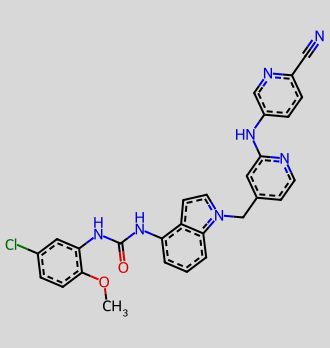 COc1ccc(Cl)cc1NC(=O)Nc1cccc2c1ccn2Cc1ccnc(Nc2ccc(C#N)nc2)c1